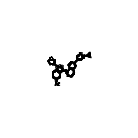 CC(=O)N1CCc2c(c(N3CCCc4cc(-c5cnn(C6CC6)c5)ccc43)nn2[C@H]2CCOC2)C1